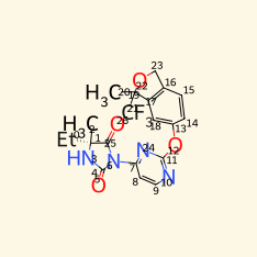 CC[C@@]1(C)NC(=O)N(c2ccnc(Oc3ccc4c(c3)C(C)(C(F)(F)F)OC4)n2)C1=O